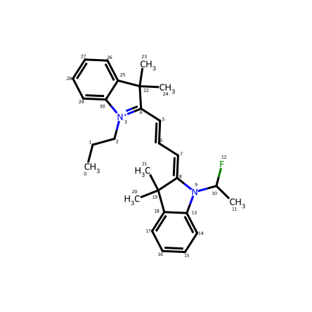 CCC[N+]1=C(/C=C/C=C2/N(C(C)F)c3ccccc3C2(C)C)C(C)(C)c2ccccc21